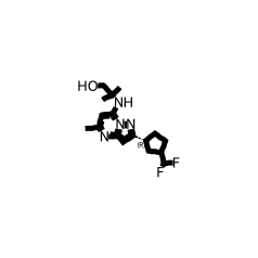 Cc1cc(NC(C)(C)CO)n2nc([C@@H]3CCC(C(F)F)C3)cc2n1